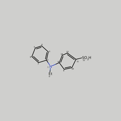 CCN(c1ccccc1)c1ccc(S(=O)(=O)O)cc1